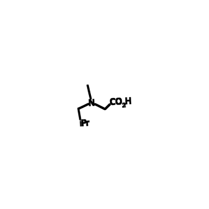 CC(C)CN(C)CC(=O)O